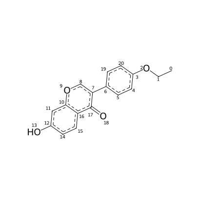 CCOc1ccc(-c2coc3cc(O)ccc3c2=O)cc1